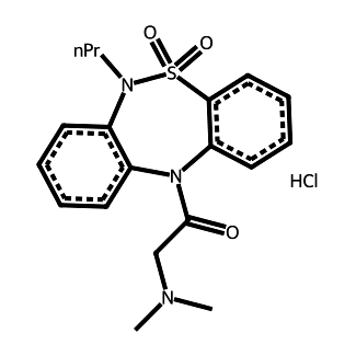 CCCN1c2ccccc2N(C(=O)CN(C)C)c2ccccc2S1(=O)=O.Cl